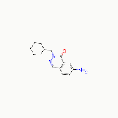 Nc1ccc2cnn(CC3CCCCC3)c(=O)c2c1